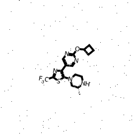 C[C@@H]1CN(c2sc(C(F)(F)F)nc2-c2cnc(OC3CCC3)nc2)CCN1